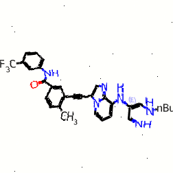 CCCCN/C=C(\C=N)Nc1cccn2c(C#Cc3cc(C(=O)Nc4cccc(C(F)(F)F)c4)ccc3C)cnc12